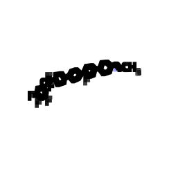 C/C=C/C1CCC(c2ccc(C3CCC(C4CCC(C(F)(F)Oc5cc(F)c(F)c(F)c5)CC4)CC3)c(F)c2)CC1